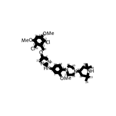 COc1cc(Nc2ncc(OCc3c(Cl)c(OC)cc(OC)c3Cl)cn2)ccc1N1CCN(C2CC(C)(C)NC(C)(C)C2)CC1